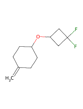 C=C1CCC(OC2CC(F)(F)C2)CC1